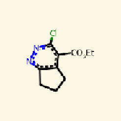 CCOC(=O)c1c(Cl)nnc2c1CCC2